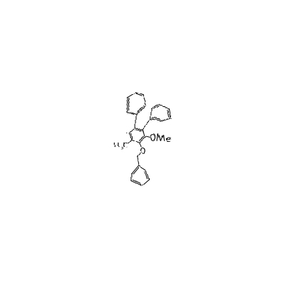 COc1c(OCc2ccccc2)c(C)[c]c(-c2ccccc2)c1-c1ccccc1